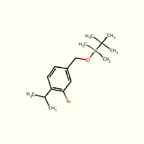 CC(C)c1ccc(CO[Si](C)(C)C(C)(C)C)cc1Br